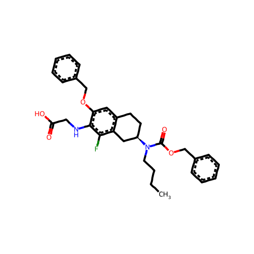 CCCCN(C(=O)OCc1ccccc1)[C@@H]1CCc2cc(OCc3ccccc3)c(NCC(=O)O)c(F)c2C1